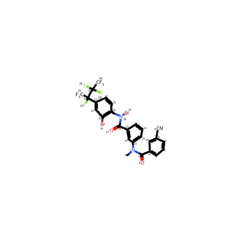 CN(C(=O)c1cccc(C#N)c1)c1cccc(C(=O)N(Br)c2ccc(C(F)(C(F)(F)F)C(F)(F)C(F)(F)F)cc2Br)c1